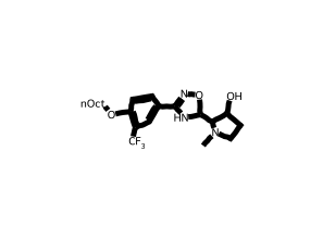 CCCCCCCCOc1ccc(C2=NOC(C3C(O)CCN3C)N2)cc1C(F)(F)F